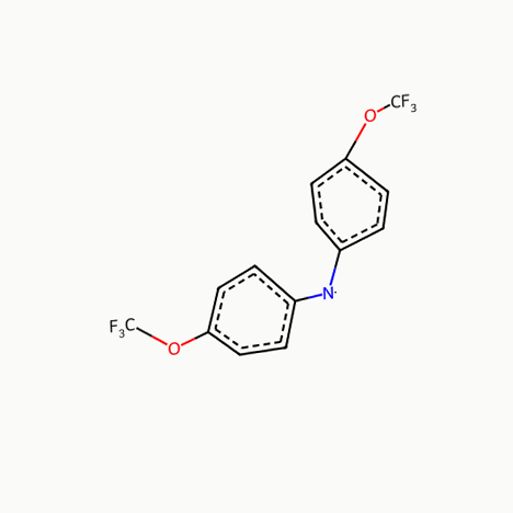 FC(F)(F)Oc1ccc([N]c2ccc(OC(F)(F)F)cc2)cc1